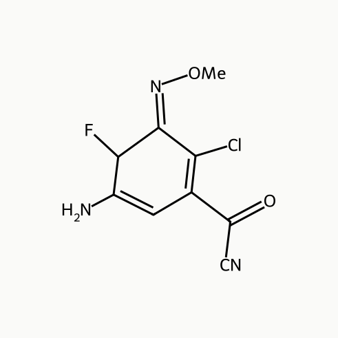 CON=C1C(Cl)=C(C(=O)C#N)C=C(N)C1F